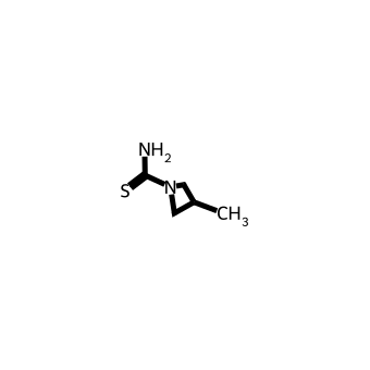 CC1CN(C(N)=S)C1